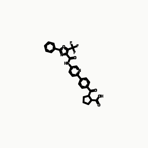 O=C(Nc1ccc(-c2ccc(C(=O)C3CCCC3C(=O)O)cc2)nc1)c1nc(-c2ccccc2)oc1C(F)(F)F